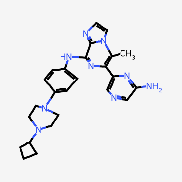 Cc1c(-c2cncc(N)n2)nc(Nc2ccc(N3CCN(C4CCC4)CC3)cc2)c2nccn12